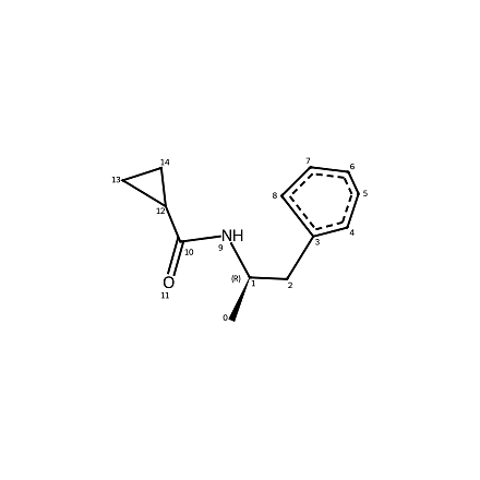 C[C@H](Cc1ccccc1)NC(=O)C1CC1